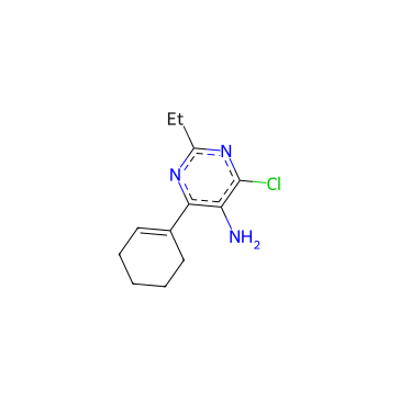 CCc1nc(Cl)c(N)c(C2=CCCCC2)n1